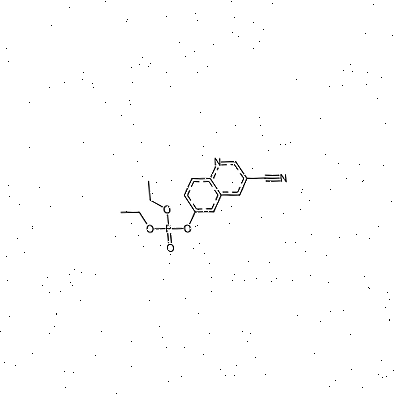 CCOP(=O)(OCC)Oc1ccc2ncc(C#N)cc2c1